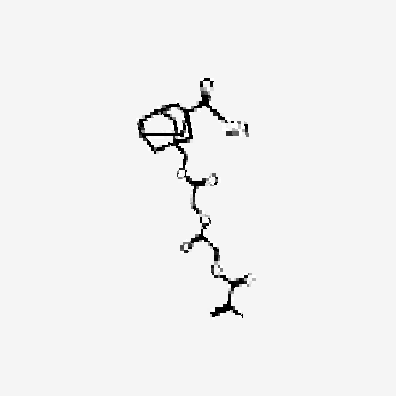 C=C(C)C(=O)OCC(=O)OCC(=O)OCC12CC3CC(C1)CC(C(=O)O)(C3)C2